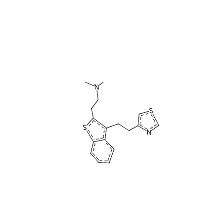 CN(C)CCc1sc2ccccc2c1CCc1cscn1